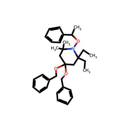 CCC1(CC)CC(OCc2ccccc2)(OCc2ccccc2)CC(C)(C)N1OC(C)c1ccccc1